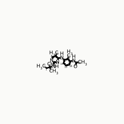 CCC(C)(C)Nc1ncc(C)c(Nc2cccc(NC(C)=O)c2C)n1